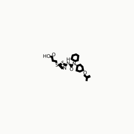 C=C(C)CO[C@H]1CC[C@H](N(C(=O)Nc2ncc(SCCC(=O)O)s2)C2CCCCC2)CC1